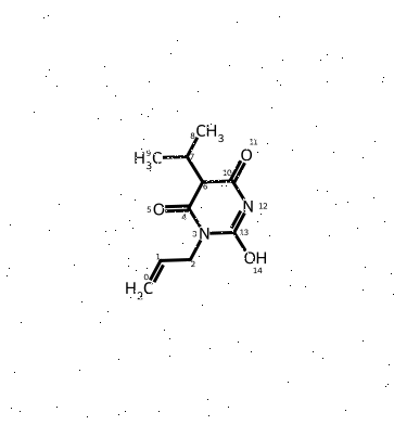 C=CCN1C(=O)C(C(C)C)C(=O)N=C1O